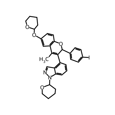 CC1=C(c2cccc3c2cnn3C2CCCCO2)C(c2ccc(I)cc2)Oc2ccc(OC3CCCCO3)cc21